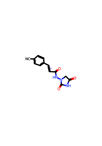 N#Cc1ccc(/C=C/C(=O)NN2CC(=O)NC2=O)cc1